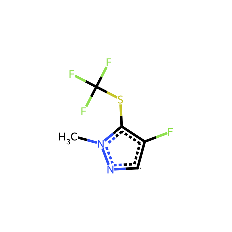 Cn1n[c]c(F)c1SC(F)(F)F